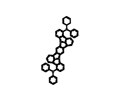 C1=CCC(N(c2ccccc2)c2cccc3c2c2cccc4c5cc6c(cc5n3c42)c2cccc3c4c(N(c5ccccc5)c5ccccc5)cccc4n6c23)C=C1